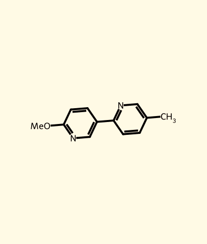 COc1ccc(-c2ccc(C)cn2)cn1